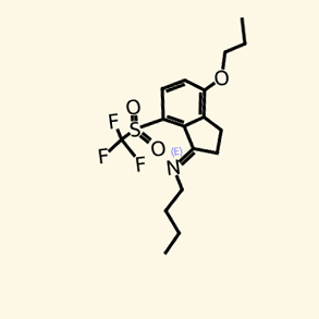 CCCC/N=C1\CCc2c(OCCC)ccc(S(=O)(=O)C(F)(F)F)c21